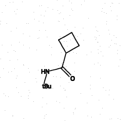 CC(C)(C)NC(=O)C1CCC1